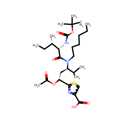 CCCCCCN(C(=O)[C@@H](NC(=O)OC(C)(C)C)[C@@H](C)CC)[C@H](C[C@@H](OC(C)=O)c1nc(C(=O)O)cs1)C(C)C